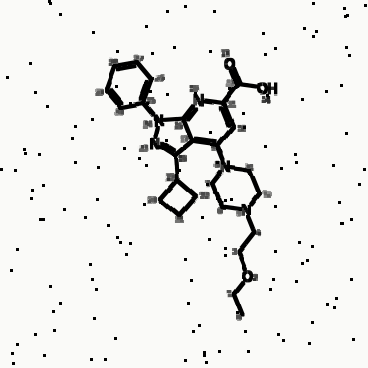 CCOCCN1CCN(c2cc(C(=O)O)nc3c2c(C2CCC2)nn3-c2ccccc2)CC1